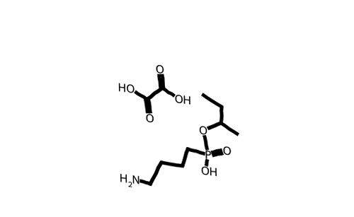 CCC(C)OP(=O)(O)CCCCN.O=C(O)C(=O)O